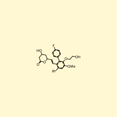 COc1cc(C(C)C)c(C=CC2CC(O)CC(=O)O2)c(-c2ccc(F)cc2)c1OCCO